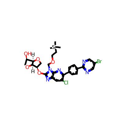 C[Si](C)(C)CCOCn1c(O[C@@H]2CO[C@H]3[C@@H]2OC[C@H]3O)nc2cc(Cl)c(-c3ccc(-c4ncc(Br)cn4)cc3)nc21